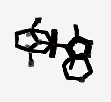 Cc1noc(C)c1S(=O)(=O)N1[C@@H]2CC[C@H]1CC(CN1CCOCC1)C2